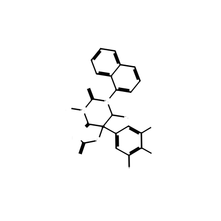 CN1C(=O)N(c2cccc3ccccc23)C(N)C(NC(=O)O)(c2cc(O)c(O)c(O)c2)C1=O